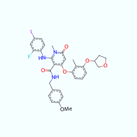 COc1ccc(CNC(=O)c2c(Oc3cccc(OC4CCOC4)c3C)cc(=O)n(C)c2Nc2ccc(I)cc2F)cc1